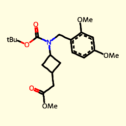 COC(=O)CC1CC(N(Cc2ccc(OC)cc2OC)C(=O)OC(C)(C)C)C1